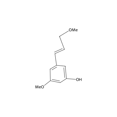 COC/C=C/c1cc(O)cc(OC)c1